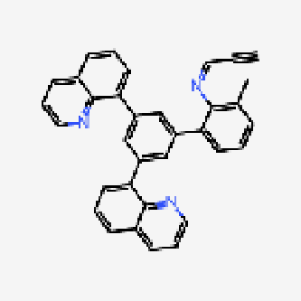 C#C/C=N\c1c(C)cccc1-c1cc(-c2cccc3cccnc23)cc(-c2cccc3cccnc23)c1